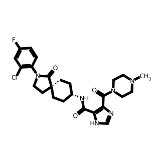 CN1CCN(C(=O)c2nc[nH]c2C(=O)N[C@H]2CC[C@@]3(CCN(c4ccc(F)cc4Cl)C3=O)CC2)CC1